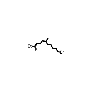 CCC(=CCC=C(C)CCCCCBr)CC